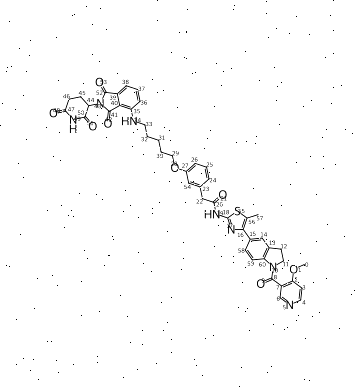 COc1ccncc1C(=O)N1CCc2cc(-c3nc(NC(=O)Cc4cccc(OCCCCCNc5cccc6c5C(=O)N(C5CCC(=O)NC5=O)C6=O)c4)sc3C)ccc21